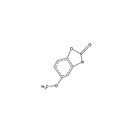 COc1ccc2c(c1)[N]C(=O)O2